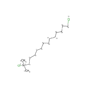 C[Si](C)(Cl)CCCCCCCCCCCCCCl